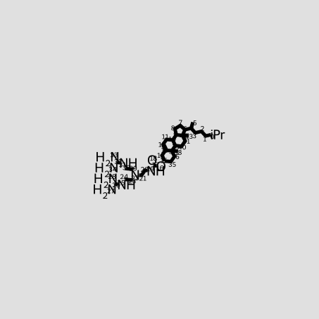 CC(C)CCCC(C)C1CCC2C3CC=C4CC(OC(=O)NCCN(CCNC(N)N)CCNC(N)N)CCC4(C)C3CCC12C